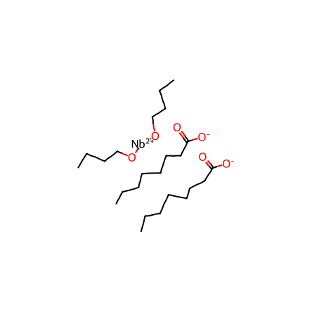 CCCCCCCC(=O)[O-].CCCCCCCC(=O)[O-].CCCC[O][Nb+2][O]CCCC